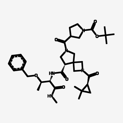 CNC(=O)[C@@H](NC(=O)[C@@H]1CN(C(=O)C2CCN(C(=O)OC(C)(C)C)C2)CC12CN(C(=O)[C@H]1CC1(C)C)C2)[C@@H](C)OCc1ccccc1